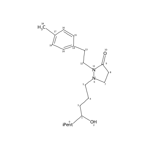 CCCC(C)C(O)CCCN1CCC(=O)N1CCc1ccc(C)cc1